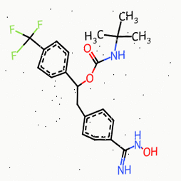 CC(C)(C)NC(=O)OC(Cc1ccc(C(=N)NO)cc1)c1ccc(C(F)(F)F)cc1